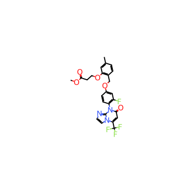 COC(=O)CCOc1cc(C)ccc1COc1ccc(-n2c(=O)cc(C(F)(F)F)n3ccnc23)c(F)c1